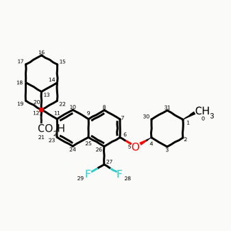 C[C@H]1CC[C@@H](Oc2ccc3cc(CC4C5CCCC4CC(C(=O)O)C5)ccc3c2C(F)F)CC1